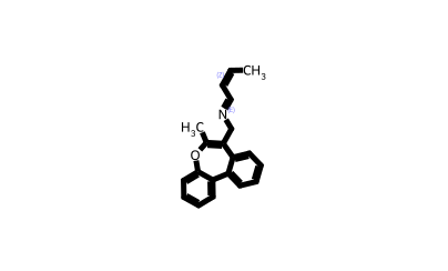 C/C=C\C=N\CC1=C(C)Oc2ccccc2-c2ccccc21